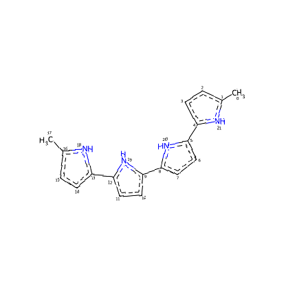 Cc1ccc(-c2ccc(-c3ccc(-c4ccc(C)[nH]4)[nH]3)[nH]2)[nH]1